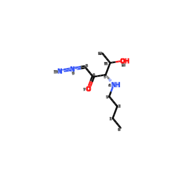 CCCCN[C@H](C(=O)C=[N+]=[N-])C(C)O